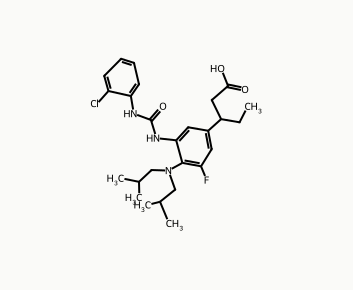 CCC(CC(=O)O)c1cc(F)c(N(CC(C)C)CC(C)C)c(NC(=O)Nc2ccccc2Cl)c1